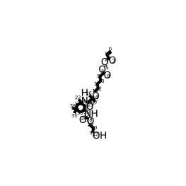 C=CC(=O)OCOC(=O)CCCCCOC(C)(C)C(=O)NC1(C)CC(NC(=O)OCCCO)CC(C)(C)C1